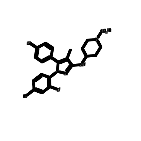 CCOC(=O)N1CCC(Nc2nn(-c3ccc(Cl)cc3Cl)c(-c3ccc(Cl)cc3)c2C)CC1